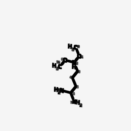 CO[SiH](CCCC(N)N)OC